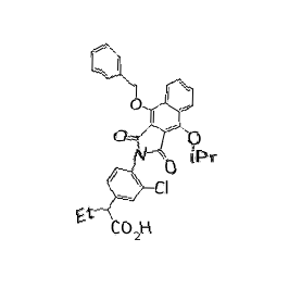 CCC(C(=O)O)c1ccc(N2C(=O)c3c(c(OC(C)C)c4ccccc4c3OCc3ccccc3)C2=O)c(Cl)c1